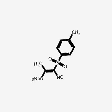 [C-]#[N+]C(=C(C)CCCCCCCCC)S(=O)(=O)c1ccc(C)cc1